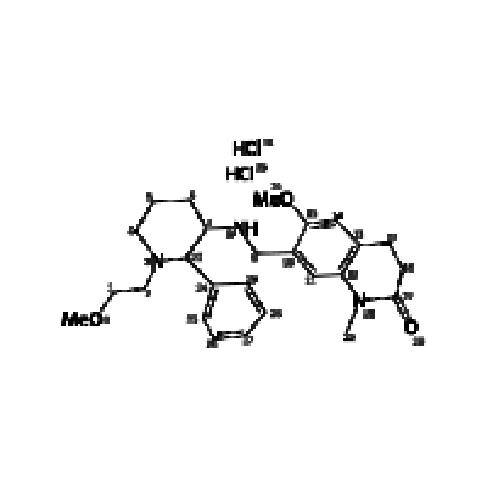 COCCN1CCCC(NCc2cc3c(cc2OC)CCC(=O)N3C)C1c1ccccc1.Cl.Cl